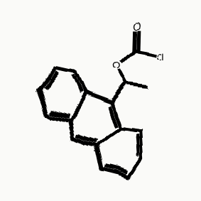 CC(OC(=O)Cl)c1c2ccccc2cc2ccccc12